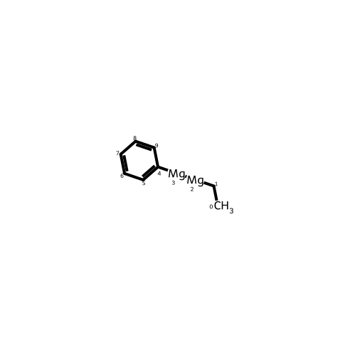 C[CH2][Mg][Mg][c]1ccccc1